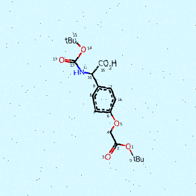 CC(C)(C)OC(=O)COc1ccc(C(NC(=O)OC(C)(C)C)C(=O)O)cc1